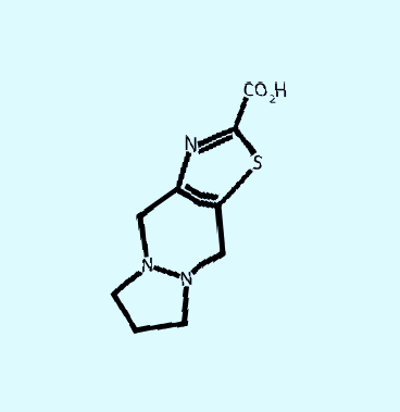 O=C(O)c1nc2c(s1)CN1CCCN1C2